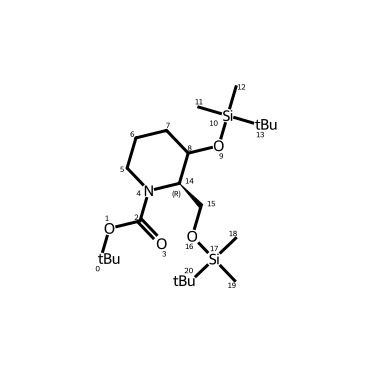 CC(C)(C)OC(=O)N1CCCC(O[Si](C)(C)C(C)(C)C)[C@H]1CO[Si](C)(C)C(C)(C)C